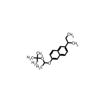 CCC(C)c1ccc2cc(OC(C)OC(C)(C)C)ccc2c1